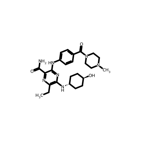 CCc1nc(C(N)=O)c(Nc2ccc(C(=O)N3CCN(C)CC3)cc2)nc1N[C@H]1CC[C@H](O)CC1